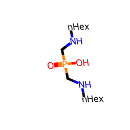 CCCCCCNCP(=O)(O)CNCCCCCC